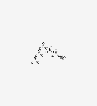 [O]=[Ti]([O-])[O-].[O]=[Ti]([O-])[O-].[O]=[Ti]([O-])[O-].[O]=[Ti]([O-])[O-].[O]=[Ti]([O-])[O-].[V+5].[V+5]